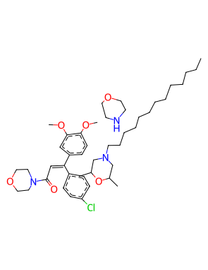 C1COCCN1.CCCCCCCCCCCCCN1CC(C)OC(C)C1.COc1ccc(/C(=C/C(=O)N2CCOCC2)c2ccc(Cl)cc2)cc1OC